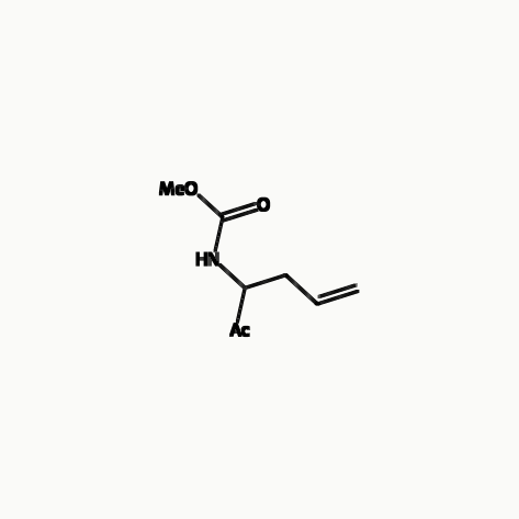 C=CCC(NC(=O)OC)C(C)=O